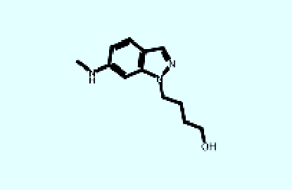 CNc1ccc2cnn(CCCCO)c2c1